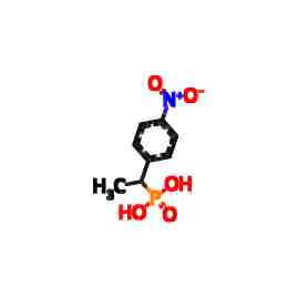 CC(c1ccc([N+](=O)[O-])cc1)P(=O)(O)O